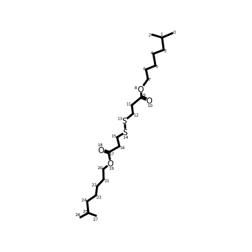 CC(C)CCCCCOC(=O)CCSSCCC(=O)OCCCCCC(C)C